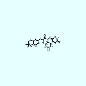 CC1(C)CCc2cc(CNC(=O)N(Cc3ccc(F)cn3)C3CCNCC3)ccc2O1